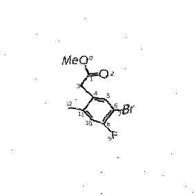 COC(=O)Cc1cc(Br)c(F)cc1C